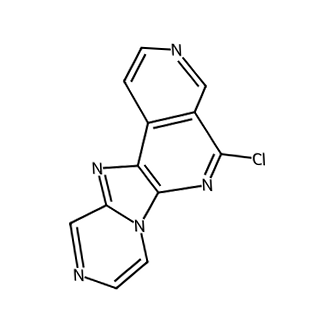 Clc1nc2c(nc3cnccn32)c2ccncc12